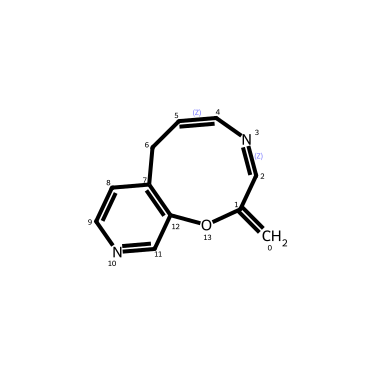 C=C1/C=N\C=C/Cc2ccncc2O1